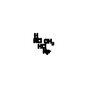 Cl.Cl.Cl.O.[Np]